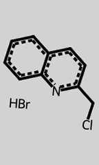 Br.ClCc1ccc2ccccc2n1